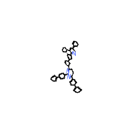 C1=CC(C2=CCC(C3=N/C(C4=CCC(C5=CCCC=C5)CC4)CCC/C(C4C=C(c5ccc(C6=NCC(C7=CCCC=C7)C=C6C6CCCCC6)cc5)C=CC4)=N\3)CC2)=CCC1